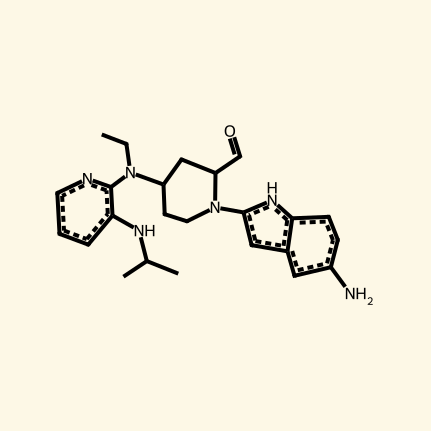 CCN(c1ncccc1NC(C)C)C1CCN(c2cc3cc(N)ccc3[nH]2)C(C=O)C1